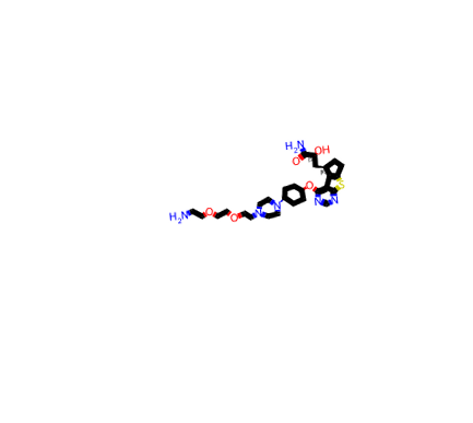 NCCOCCOCCN1CCN([C@H]2CC[C@H](Oc3ncnc4sc5c(c34)[C@@H](C[C@H](O)C(N)=O)CC5)CC2)CC1